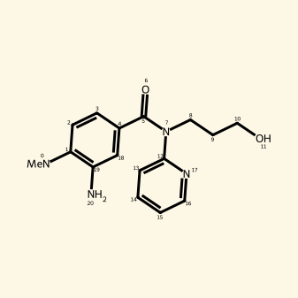 CNc1ccc(C(=O)N(CCCO)c2ccccn2)cc1N